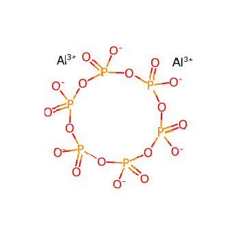 O=P1([O-])OP(=O)([O-])OP(=O)([O-])OP(=O)([O-])OP(=O)([O-])OP(=O)([O-])O1.[Al+3].[Al+3]